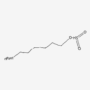 CCCCCCCCCCCO[SH](=O)=O